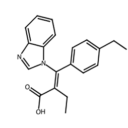 CCC(C(=O)O)=C(c1ccc(CC)cc1)n1cnc2ccccc21